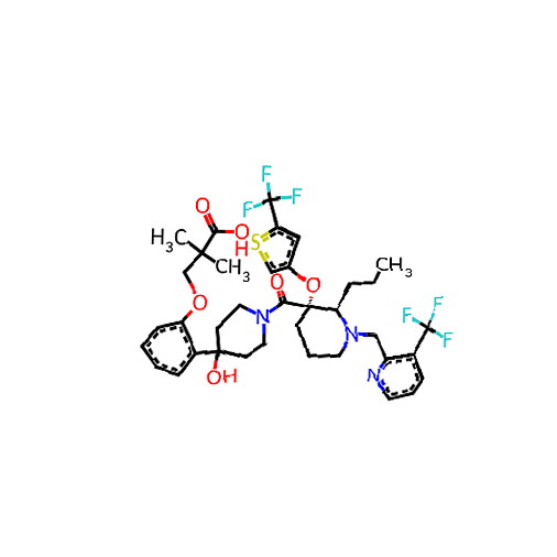 CCC[C@H]1N(Cc2ncccc2C(F)(F)F)CCC[C@@]1(Oc1csc(C(F)(F)F)c1)C(=O)N1CCC(O)(c2ccccc2OCC(C)(C)C(=O)O)CC1